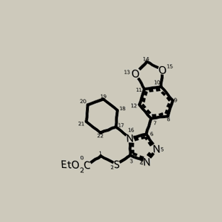 CCOC(=O)CSc1nnc(-c2ccc3c(c2)OCO3)n1C1CCCCC1